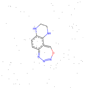 C1=c2c3c(ccc2=NN=NO1)NCCN3